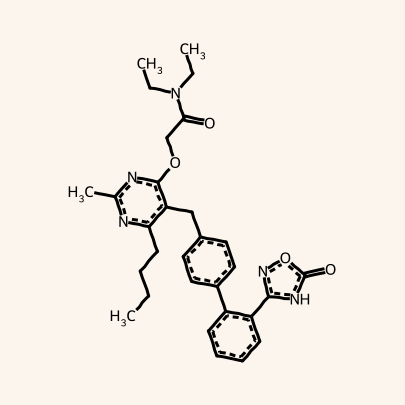 CCCCc1nc(C)nc(OCC(=O)N(CC)CC)c1Cc1ccc(-c2ccccc2-c2noc(=O)[nH]2)cc1